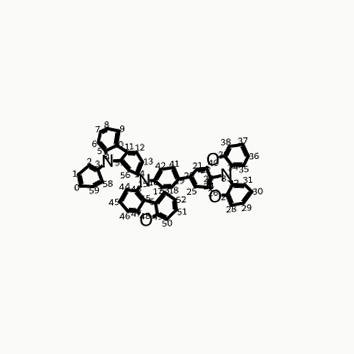 c1ccc(-n2c3ccccc3c3ccc(N(c4ccc(-c5cc6c7c(c5)Oc5ccccc5N7c5ccccc5O6)cc4)c4cccc5oc6ccccc6c45)cc32)cc1